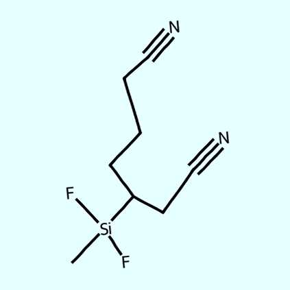 C[Si](F)(F)C(CC#N)CCCC#N